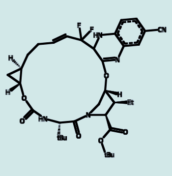 CC[C@@H]1[C@@H]2CN(C(=O)[C@H](C(C)(C)C)NC(=O)O[C@@H]3C[C@H]3CC/C=C/C(F)(F)C3Nc4ccc(C#N)cc4N=C3O2)[C@@H]1C(=O)OC(C)(C)C